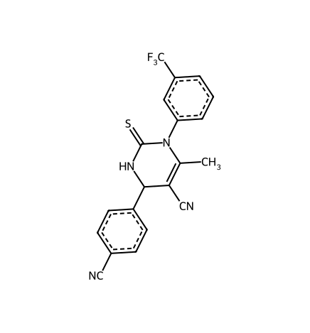 CC1=C(C#N)C(c2ccc(C#N)cc2)NC(=S)N1c1cccc(C(F)(F)F)c1